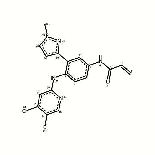 C=CC(=O)Nc1ccc(Nc2cc(Cl)c(Cl)cn2)c(-c2ccn(C)n2)c1